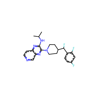 CC(C)Nc1nc2ccncc2nc1N1CCC(C(F)c2ccc(F)cc2F)CC1